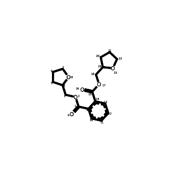 O=C(OCC1CCCO1)c1ccccc1C(=O)OCC1CCCO1